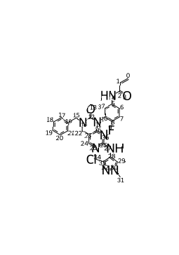 C=CC(=O)Nc1ccc(F)c(N2C(=O)N(Cc3ccccc3)Cc3cnc(Nc4cn(C)nc4Cl)nc32)c1